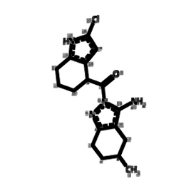 CC1CCc2nn(C(=O)C3CCCc4[nH]c(Cl)cc43)c(N)c2C1